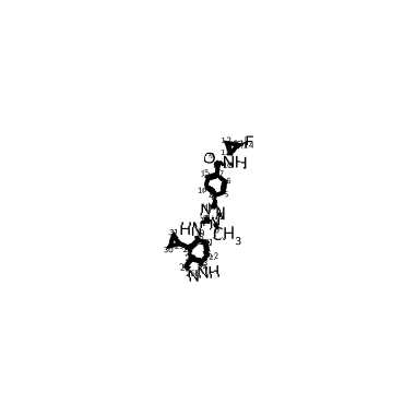 Cn1nc(-c2ccc(C(=O)NC3C[C@@H]3F)cc2)nc1Nc1ccc2[nH]ncc2c1C1CC1